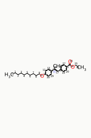 CCCCCCCCCCOc1ccc(/C(C)=C/c2ccc(C(=O)OCC)cc2)cc1